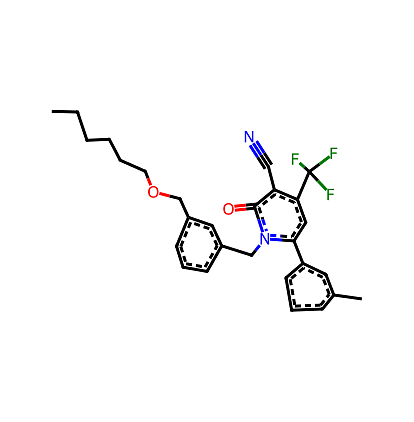 CCCCCCOCc1cccc(Cn2c(-c3cccc(C)c3)cc(C(F)(F)F)c(C#N)c2=O)c1